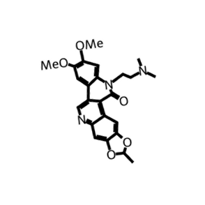 COc1cc2c3cnc4cc5c(cc4c3c(=O)n(CCN(C)C)c2cc1OC)OC(C)O5